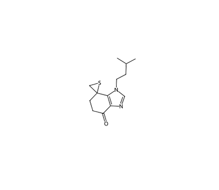 CC(C)CCn1cnc2c1C1(CCC2=O)CS1